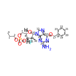 CCCO[P@]1(=O)OC[C@H]2O[C@@H](n3cnc4c(OCc5ccccc5)nc(N)nc43)[C@](C)(F)[C@@H]2O1